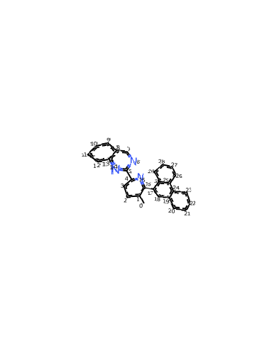 Cc1ccc(-c2ncc3ccccc3n2)nc1-c1cc2ccccc2c2ccccc12